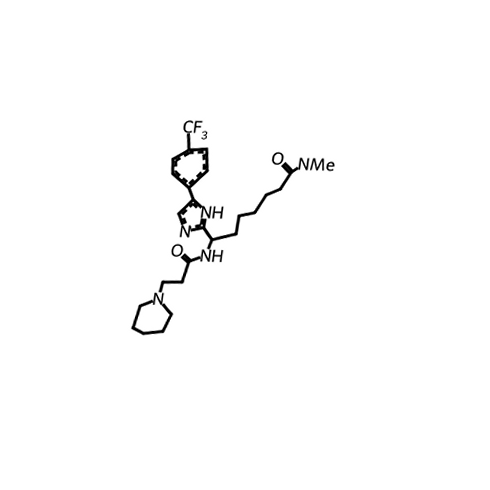 CNC(=O)CCCCCC(NC(=O)CCN1CCCCC1)c1ncc(-c2ccc(C(F)(F)F)cc2)[nH]1